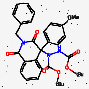 COc1ccc(C2(N(NC(=O)OC(C)(C)C)C(=O)OC(C)(C)C)C(=O)N(Cc3ccccc3)C(=O)c3ccccc32)cc1